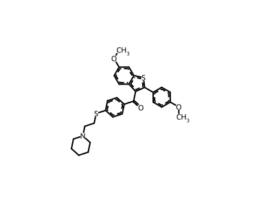 COc1ccc(-c2sc3cc(OC)ccc3c2C(=O)c2ccc(SCCN3CCCCC3)cc2)cc1